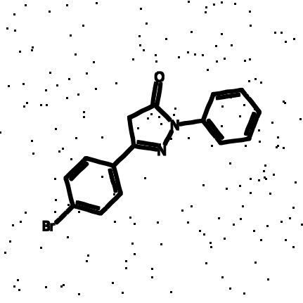 O=C1CC(c2ccc(Br)cc2)=NN1c1ccccc1